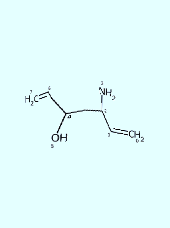 C=CC(N)C(O)C=C